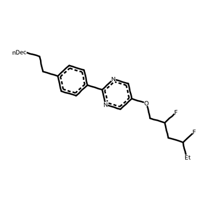 CCCCCCCCCCCCc1ccc(-c2ncc(OCC(F)CC(F)CC)cn2)cc1